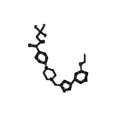 CCOc1cncc(-c2csc(CN3CCN(c4ccc(C(=O)NCC(F)(F)F)cc4)CC3)c2)c1